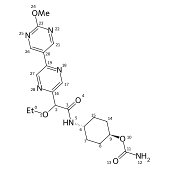 CCOC(C(=O)N[C@H]1CC[C@H](OC(N)=O)CC1)c1cnc(-c2cnc(OC)nc2)cn1